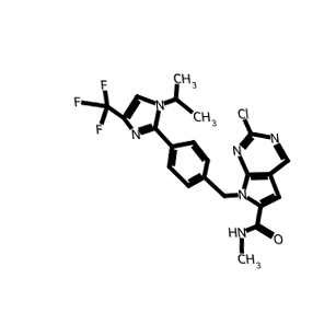 CNC(=O)c1cc2cnc(Cl)nc2n1Cc1ccc(-c2nc(C(F)(F)F)cn2C(C)C)cc1